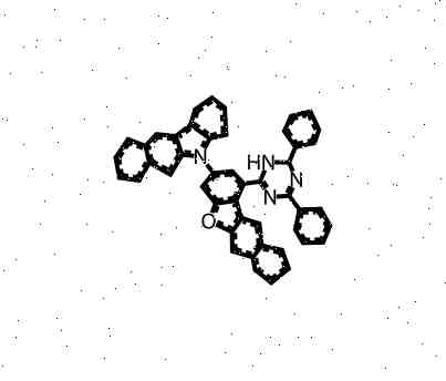 c1ccc(C2=NC(c3ccccc3)NC(c3cc(-n4c5ccccc5c5cc6ccccc6cc54)cc4oc5cc6ccccc6cc5c34)=N2)cc1